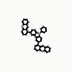 c1ccc(-n2c3ccc(-c4cccc5nc6ccccc6cc45)cc3c3cc(-c4cccc5nc6ccccc6cc45)ccc32)cc1